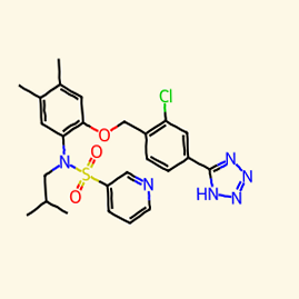 Cc1cc(OCc2ccc(-c3nnn[nH]3)cc2Cl)c(N(CC(C)C)S(=O)(=O)c2cccnc2)cc1C